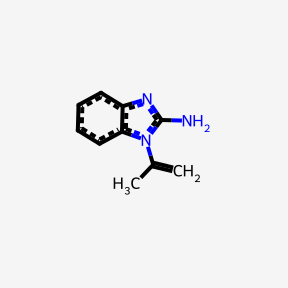 C=C(C)n1c(N)nc2ccccc21